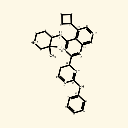 CC1(C)CNCCC1Nc1nc(C2CC=NC(Nc3ccccc3)=N2)nc2cncc(C3CCC3)c12